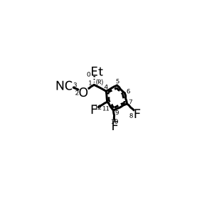 CC[C@@H](OC#N)c1ccc(F)c(F)c1F